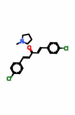 CN1CCCC1.O=C(C=Cc1ccc(Cl)cc1)C=Cc1ccc(Cl)cc1